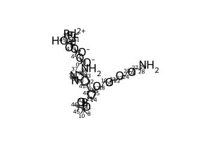 CC(=O)[O-].CC(=O)[O-].CC1(C)OB(c2ccc(OCCOCCOCCOCCN)c(-c3ccc4c(N)cnnc4c3)c2)OC1(C)C.O=C(O)C(F)(F)F.[Pd+2]